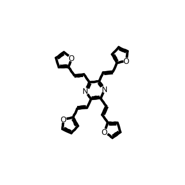 C(=Cc1nc(C=Cc2ccco2)c(C=Cc2ccco2)nc1C=Cc1ccco1)c1ccco1